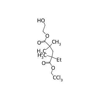 CCC(C)(CC(C)(C)C(=O)OCCO)C(=O)OCC(Cl)(Cl)Cl